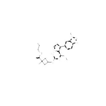 COc1nc(NC2CC(C)(C(=O)NCCF)C2)nn2ccc(-c3ccc4nnn(C)c4c3)c12